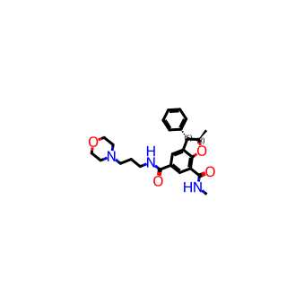 CNC(=O)c1cc(C(=O)NCCCN2CCOCC2)cc2c1O[C@H](C)[C@H]2c1ccccc1